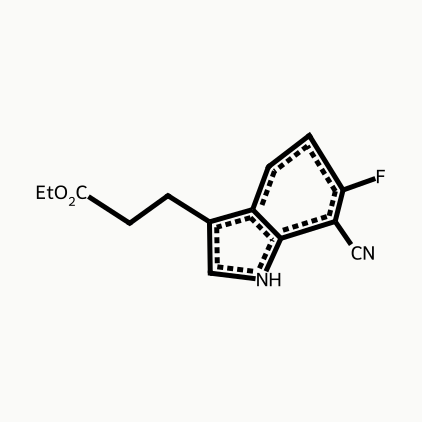 CCOC(=O)CCc1c[nH]c2c(C#N)c(F)ccc12